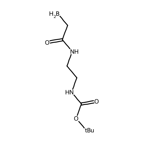 BCC(=O)NCCNC(=O)OC(C)(C)C